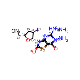 NNc1nc2c(sc(=O)n2[C@@H]2O[C@H](CN=O)C[C@H]2I)c(=O)n1N